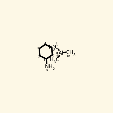 NC1CCCCC1.[CH3][Al]([CH3])[CH3]